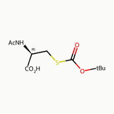 CC(=O)N[C@@H](CSC(=O)OC(C)(C)C)C(=O)O